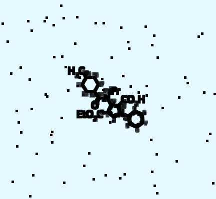 CCOC(=O)c1cn(-c2ccccc2)c(C(=O)O)c1N(C(=O)C1CCC(C)CC1)C(C)C